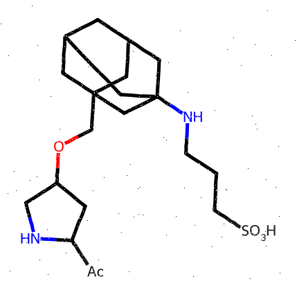 CC(=O)C1CC(OCC23CC4CC(C2)CC(NCCCS(=O)(=O)O)(C4)C3)CN1